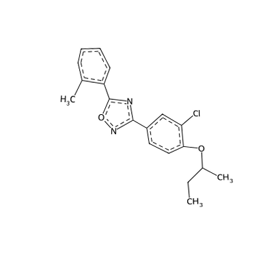 CCC(C)Oc1ccc(-c2noc(-c3ccccc3C)n2)cc1Cl